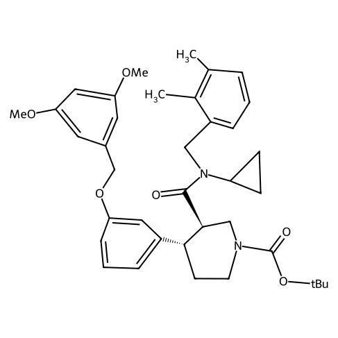 COc1cc(COc2cccc([C@H]3CCN(C(=O)OC(C)(C)C)C[C@@H]3C(=O)N(Cc3cccc(C)c3C)C3CC3)c2)cc(OC)c1